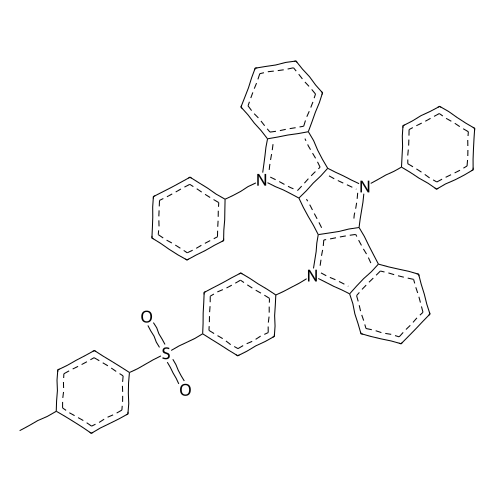 Cc1ccc(S(=O)(=O)c2ccc(-n3c4ccccc4c4c3c3c(c5ccccc5n3-c3ccccc3)n4-c3ccccc3)cc2)cc1